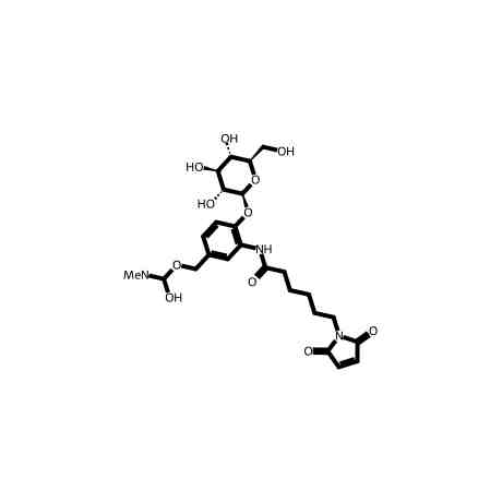 CNC(O)OCc1ccc(O[C@@H]2O[C@H](CO)[C@@H](O)[C@H](O)[C@H]2O)c(NC(=O)CCCCCN2C(=O)C=CC2=O)c1